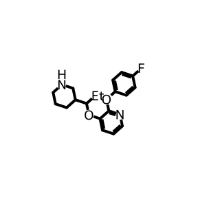 CCC(Oc1cccnc1Oc1ccc(F)cc1)C1CCCNC1